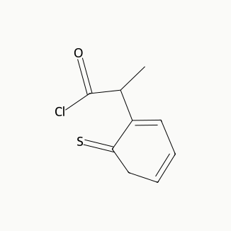 CC(C(=O)Cl)C1=CC=CCC1=S